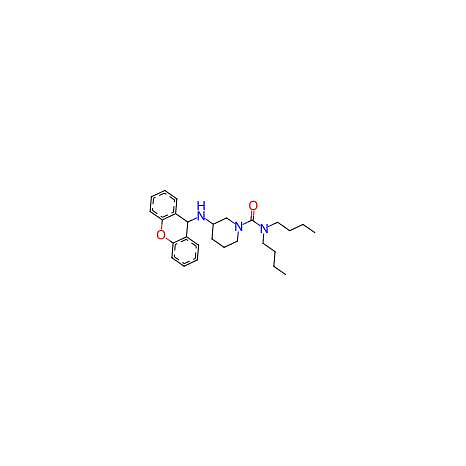 CCCCN(CCCC)C(=O)N1CCCC(NC2c3ccccc3Oc3ccccc32)C1